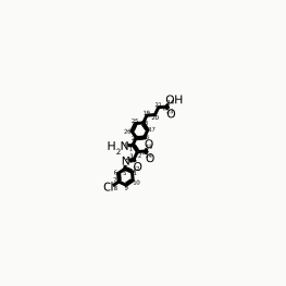 Nc1c(-c2nc3cc(Cl)ccc3o2)c(=O)oc2cc(CCCC(=O)O)ccc12